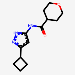 O=C(Nc1cc(C2C[CH]C2)n[nH]1)C1CCOCC1